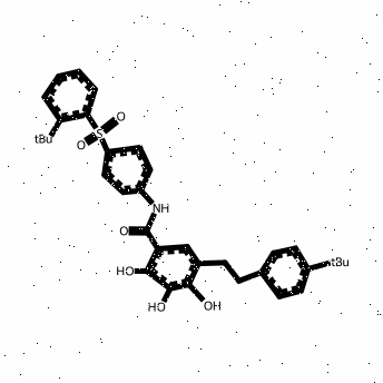 CC(C)(C)c1ccc(CCc2cc(C(=O)Nc3ccc(S(=O)(=O)c4ccccc4C(C)(C)C)cc3)c(O)c(O)c2O)cc1